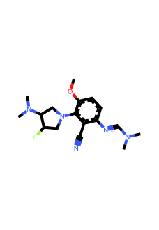 COc1ccc(/N=C/N(C)C)c(C#N)c1N1CC(F)C(N(C)C)C1